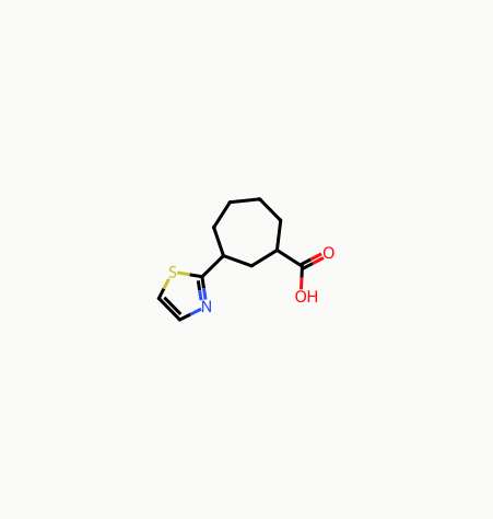 O=C(O)C1CCCCC(c2nccs2)C1